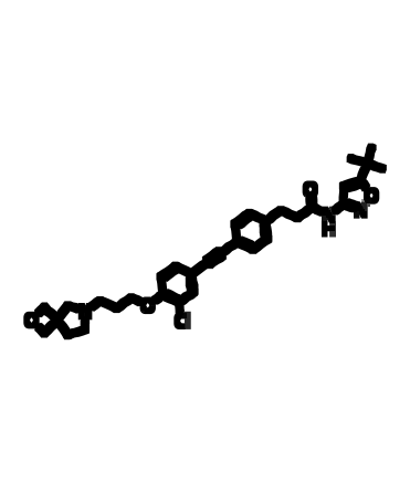 CC(C)(C)c1cc(NC(=O)CCc2ccc(C#Cc3ccc(OCCCN4CCC5(COC5)C4)c(Cl)c3)cc2)no1